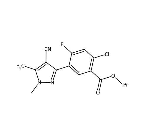 CC(C)OC(=O)c1cc(-c2nn(C)c(C(F)(F)F)c2C#N)c(F)cc1Cl